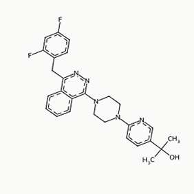 CC(C)(O)c1ccc(N2CCN(c3nnc(Cc4ccc(F)cc4F)c4ccccc34)CC2)nc1